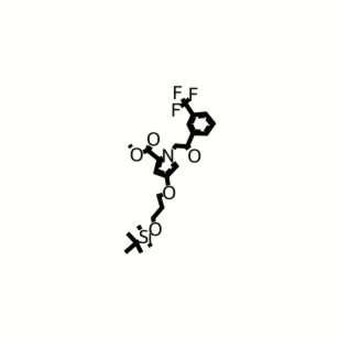 COC(=O)c1cc(OCCCO[Si](C)(C)C(C)(C)C)cn1CC(=O)c1cccc(C(F)(F)F)c1